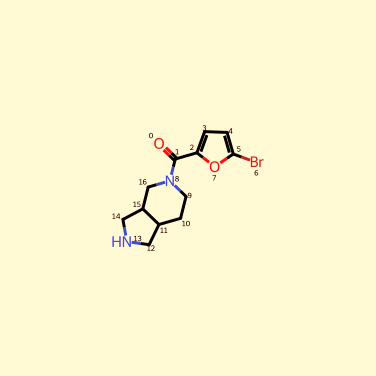 O=C(c1ccc(Br)o1)N1CCC2CNCC2C1